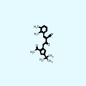 CC(=O)C1=C(CC(=O)/C(C#N)=C/c2cccc(C)c2C)C=C(C(C)(C)C)C1